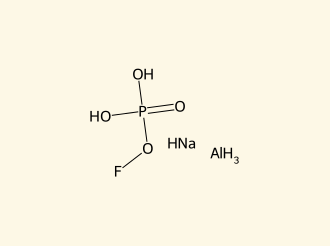 O=P(O)(O)OF.[AlH3].[NaH]